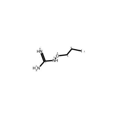 N=C(N)NOCCI